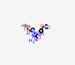 CCCCOC(=O)NC1CCCN(c2nnc(C(N)=O)c(Nc3ccc(C(=O)N4CCOCC4)cc3)n2)C1